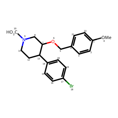 COc1ccc(COC2CN(C(=O)O)CCC2c2ccc(Br)cc2)cc1